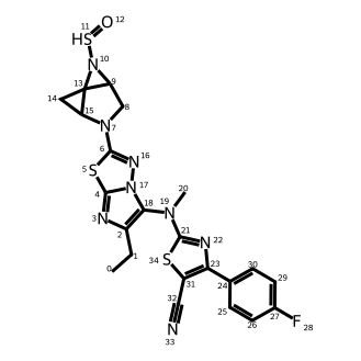 CCc1nc2sc(N3CC4N([SH]=O)C45CC35)nn2c1N(C)c1nc(-c2ccc(F)cc2)c(C#N)s1